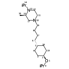 CC(C)O[C@H]1CC[C@H](CCCCN2CCN(C(C)C)[C@H](C)C2)CC1